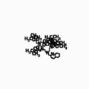 CC(C)(C)OC(=O)CN(CCN(CC(=O)OC(C)(C)C)CC(=O)OC(C)(C)C)CCN(CCN(CC(=O)OC(C)(C)C)CC(=O)OC(C)(C)C)Cc1ccc2ccccc2n1